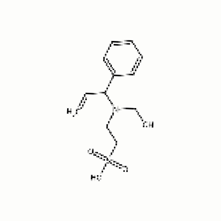 C=CC(c1ccccc1)N(CO)CCS(=O)(=O)O